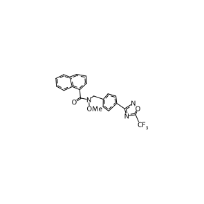 CON(Cc1ccc(-c2noc(C(F)(F)F)n2)cc1)C(=O)c1cccc2ccccc12